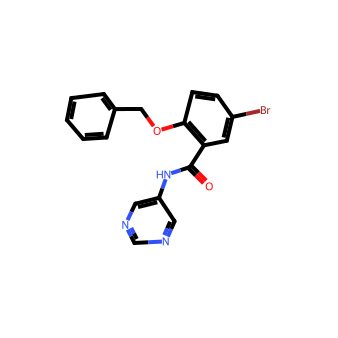 O=C(Nc1cncnc1)c1cc(Br)ccc1OCc1ccccc1